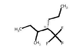 CCC[C@@H](C(C)CC)C(F)(F)F